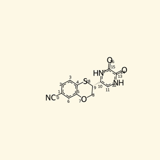 N#Cc1ccc2c(c1)OC[C@@H](c1c[nH]c(=O)c(=O)[nH]1)S2